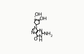 Nc1nc2c(ncn2C2C[C@H](CO)[C@@H](O)C2)c(=O)[nH]1